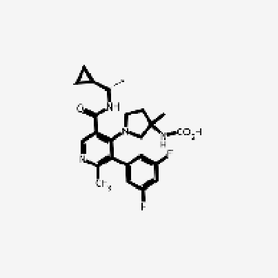 C[C@H](NC(=O)c1cnc(C(F)(F)F)c(-c2cc(F)cc(F)c2)c1N1CCC(C)(NC(=O)O)C1)C1CC1